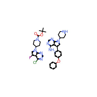 CC(C)(C)OC(=O)N1CCC(n2cc(I)c3c(Cl)ncnc32)CC1.Nc1ncnc2c1c(-c1ccc(Oc3ccccc3)cc1)cn2C1CCNCC1